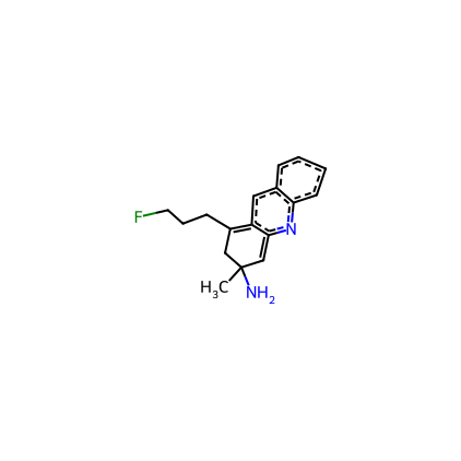 CC1(N)C=c2nc3ccccc3cc2=C(CCCF)C1